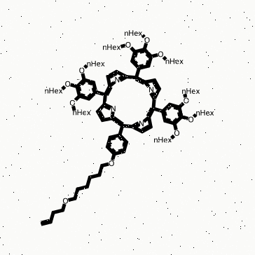 C=CCCOCCCCCCOc1ccc(C2=C3C=CC(=N3)C(c3cc(OCCCCCC)c(OCCCCCC)c(OCCCCCC)c3)=C3C=CC(=N3)C(c3cc(OCCCCCC)c(OCCCCCC)c(OCCCCCC)c3)=C3C=CC(=N3)C(c3cc(OCCCCCC)c(OCCCCCC)c(OCCCCCC)c3)=C3C=CC2=N3)cc1